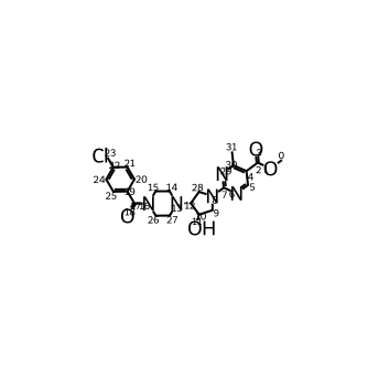 COC(=O)c1cnc(N2C[C@@H](O)[C@H](N3CCN(C(=O)c4ccc(Cl)cc4)CC3)C2)nc1C